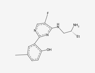 CC[C@@H](N)CNc1nc(-c2cc(C)ccc2O)ncc1F